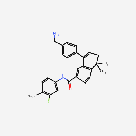 CC1(C)CC=C(c2ccc(CN)cc2)c2cc(C(=O)Nc3ccc(C(=O)O)c(F)c3)ccc21